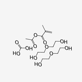 C=C(C)C(=O)OC(C)=O.O=C(O)O.OCCOCCO.OCCOCCO